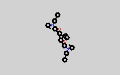 Cc1ccccc1N(c1ccc(-c2ccccc2)cc1)c1ccc2c(c1)oc1cc3c(cc12)-c1ccc2c(oc4cc(N(c5ccc(-c6ccccc6)cc5)c5ccccc5C)ccc42)c1C31C2CC3CC(C2)CC1C3